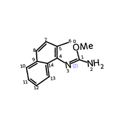 CO/C(N)=N\c1c(C)ccc2ccccc12